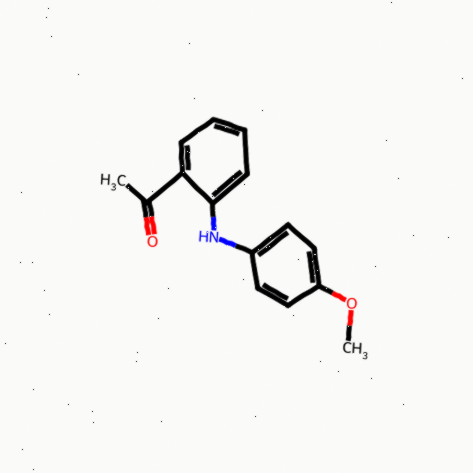 COc1ccc(Nc2ccccc2C(C)=O)cc1